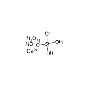 O.[Ca+2].[O-][Si](O)(O)O.[OH-]